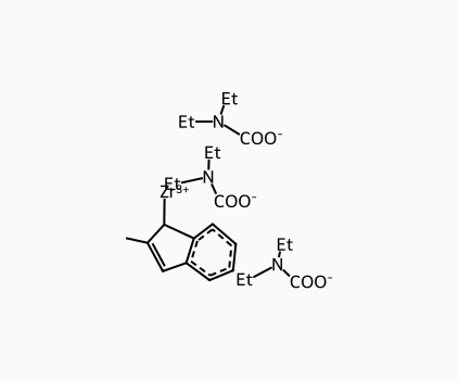 CC1=Cc2ccccc2[CH]1[Zr+3].CCN(CC)C(=O)[O-].CCN(CC)C(=O)[O-].CCN(CC)C(=O)[O-]